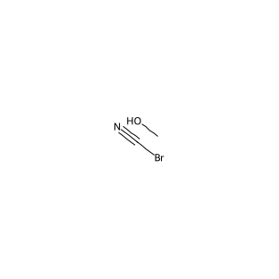 CO.N#CBr